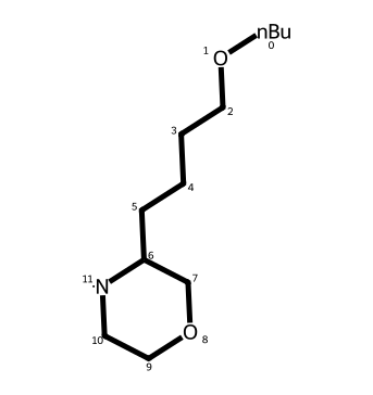 CCCCOCCCCC1COCC[N]1